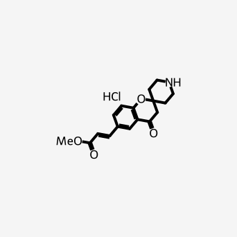 COC(=O)/C=C/c1ccc2c(c1)C(=O)CC1(CCNCC1)O2.Cl